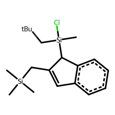 CC(C)(C)C[Si](C)(Cl)C1C(C[Si](C)(C)C)=Cc2ccccc21